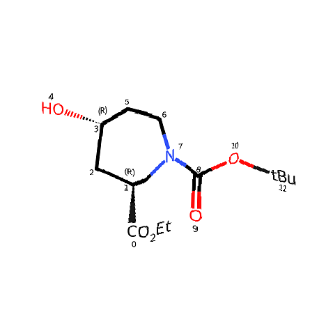 CCOC(=O)[C@H]1C[C@H](O)CCN1C(=O)OC(C)(C)C